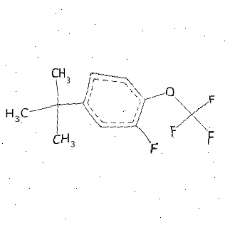 CC(C)(C)c1ccc(OC(F)(F)F)c(F)c1